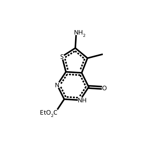 CCOC(=O)c1nc2sc(N)c(C)c2c(=O)[nH]1